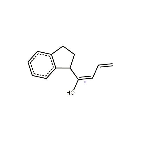 C=C/C=C(/O)C1CCc2ccccc21